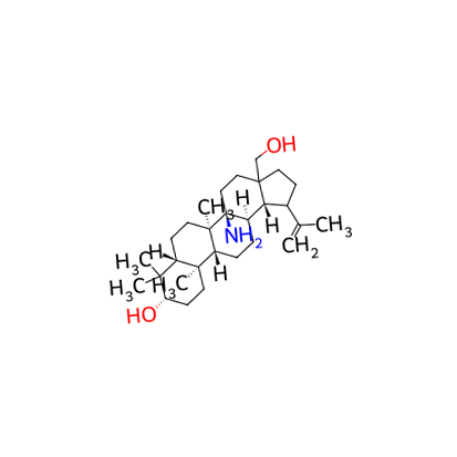 C=C(C)C1CCC2(CO)CC[C@]3(N)[C@H](CC[C@@H]4[C@@]5(C)CC[C@H](O)C(C)(C)[C@@H]5CC[C@]43C)[C@@H]12